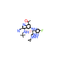 BC(Nc1cc(C(C)=O)c2ncc(C#N)c(NCC(C)(C)C)c2c1)(C1=CN(C2CC2)NN1)c1ccc(F)cc1